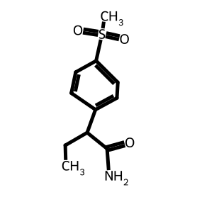 CCC(C(N)=O)c1ccc(S(C)(=O)=O)cc1